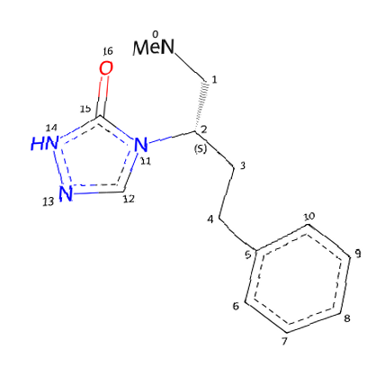 CNC[C@H](CCc1ccccc1)n1cn[nH]c1=O